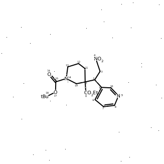 CCOC(=O)C1(C(C[N+](=O)[O-])c2cccnc2)CCCN(C(=O)OC(C)(C)C)C1